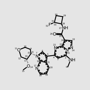 CNc1cc(-c2cn([C@H]3CCOC[C@H]3OC)c3ncccc23)nc2c(C(=O)NC3CC[C@@H]3F)cnn12